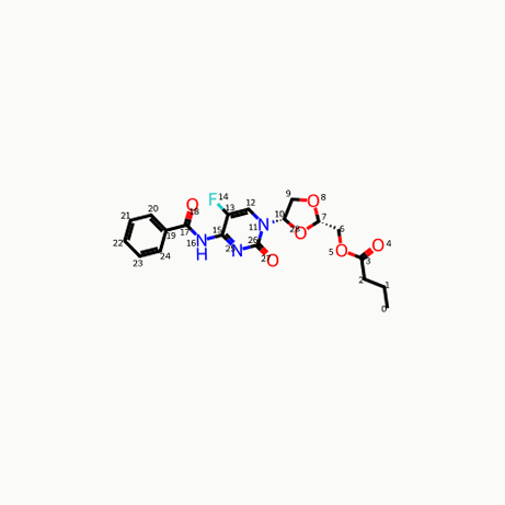 CCCC(=O)OC[C@H]1OC[C@@H](n2cc(F)c(NC(=O)c3ccccc3)nc2=O)O1